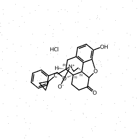 Cl.O=C1CC[C@@]2(OCc3ccccc3)[C@H]3Cc4ccc(O)c5c4[C@@]2(CC[N+]3([O-])CC2CC2)C1O5